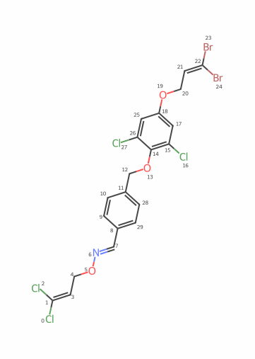 ClC(Cl)=CCON=Cc1ccc(COc2c(Cl)cc(OCC=C(Br)Br)cc2Cl)cc1